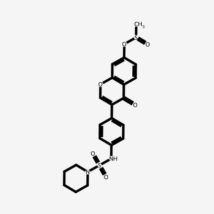 CS(=O)Oc1ccc2c(=O)c(-c3ccc(NS(=O)(=O)N4CCCCC4)cc3)coc2c1